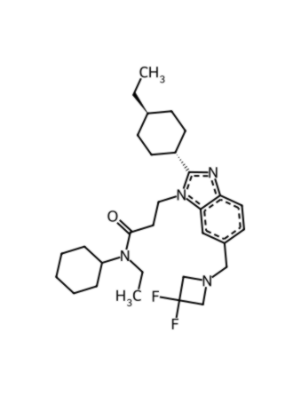 CCN(C(=O)CCn1c2cc(CN3CC(F)(F)C3)ccc2nc1[C@H]1CC[C@H](CC)CC1)C1CCCCC1